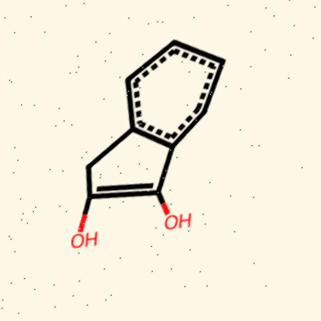 OC1=C(O)c2ccccc2C1